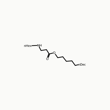 CCCCCCCCCCCCCCCOC(=O)CCNCCCCCC